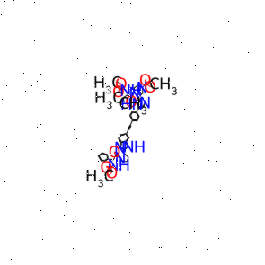 COC(=O)N[C@H](C(=O)N1CCN(C(=O)OC)C[C@H]1c1ncc(-c2ccc(C#Cc3ccc4nc([C@@H]5CCCN5C(=O)[C@H](NC(=O)OC)c5ccccc5)[nH]c4c3)cc2)[nH]1)C(C)C